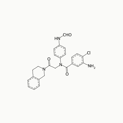 Nc1cc(C(=O)N(CC(=O)N2CCc3ccccc3C2)c2ccc(NC=O)cc2)ccc1Cl